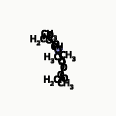 C#C/C=C(\C=C/COCCOC(=O)C(=C)C)C(C)(C)c1ccc(OCCOC(=O)C(=C)C)cc1